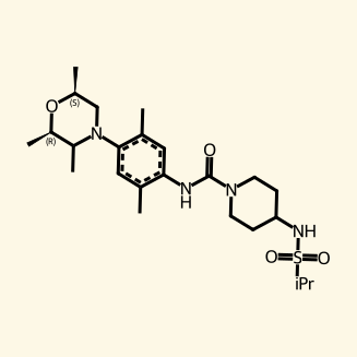 Cc1cc(N2C[C@H](C)O[C@H](C)C2C)c(C)cc1NC(=O)N1CCC(NS(=O)(=O)C(C)C)CC1